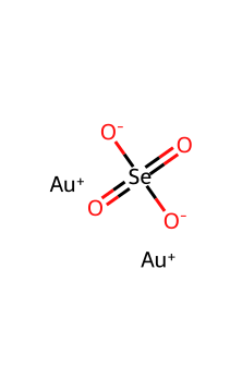 O=[Se](=O)([O-])[O-].[Au+].[Au+]